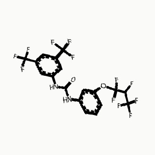 O=C(Nc1cccc(OC(F)(F)C(F)C(F)(F)F)c1)Nc1cc(C(F)(F)F)cc(C(F)(F)F)c1